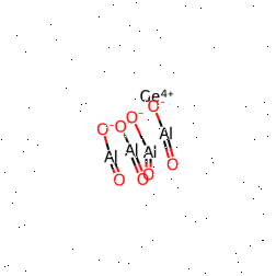 [Ge+4].[O]=[Al][O-].[O]=[Al][O-].[O]=[Al][O-].[O]=[Al][O-]